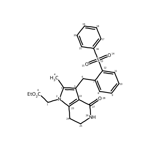 CCOC(=O)Cn1c(C)c(Cc2ccccc2S(=O)(=O)c2ccccc2)c2c1CCNC2=O